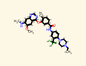 CCN1CCN(c2ccc(NC(=O)c3ccc(C)c(Oc4ncnc5cc(NC)c(OC)cc45)c3)cc2C(F)(F)F)CC1